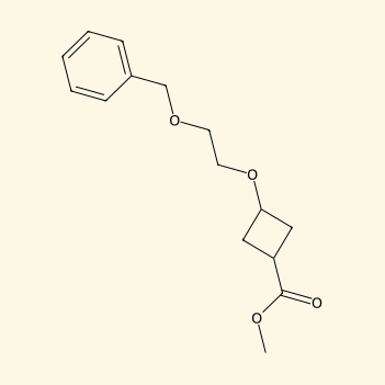 COC(=O)C1CC(OCCOCc2ccccc2)C1